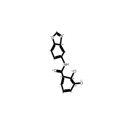 O=C(Nc1ccc2ocnc2c1)c1cccc(Cl)c1Cl